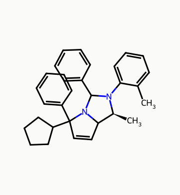 Cc1ccccc1N1C(c2ccccc2)N2C(C=CC2(c2ccccc2)C2CCCC2)[C@@H]1C